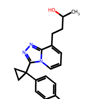 CC(O)CCc1cccn2c(C3(c4ccc(Cl)cc4)CC3)nnc12